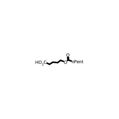 CCCCCC(=O)OCCCCC(=O)O